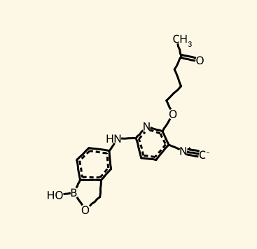 [C-]#[N+]c1ccc(Nc2ccc3c(c2)COB3O)nc1OCCCC(C)=O